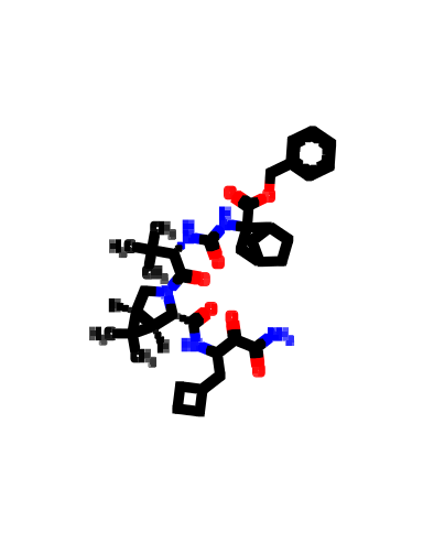 CC(C)(C)[C@H](NC(=O)NC1(C(=O)OCc2ccccc2)CC2CCC1C2)C(=O)N1C[C@H]2[C@@H]([C@H]1C(=O)NC(CC1CCC1)C(=O)C(N)=O)C2(C)C